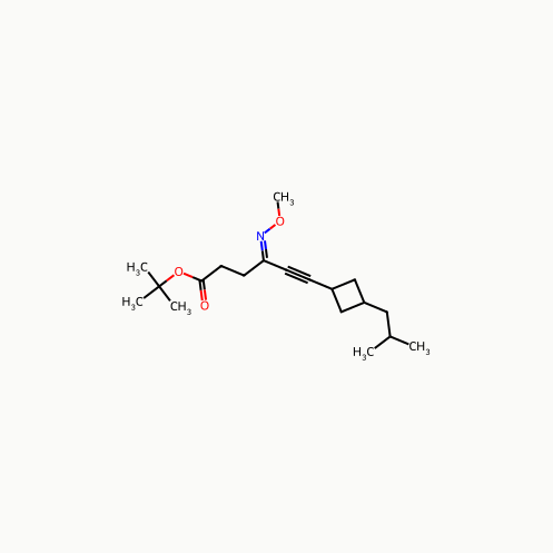 CO/N=C(\C#CC1CC(CC(C)C)C1)CCC(=O)OC(C)(C)C